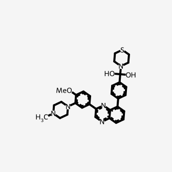 COc1ccc(-c2cnc3cccc(-c4ccc(C(O)(O)N5CCSCC5)cc4)c3n2)cc1N1CCN(C)CC1